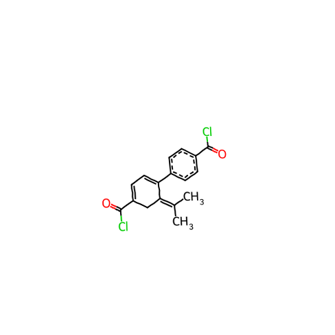 CC(C)=C1CC(C(=O)Cl)=CC=C1c1ccc(C(=O)Cl)cc1